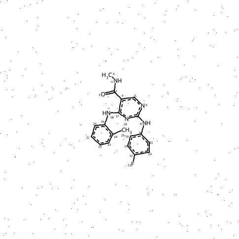 CNC(=O)c1cnc(Nc2ccc(F)cc2)nc1Nc1ccccc1C